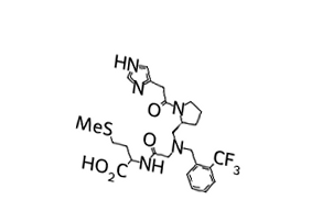 CSCCC(NC(=O)CN(Cc1ccccc1C(F)(F)F)C[C@@H]1CCCN1C(=O)Cc1c[nH]cn1)C(=O)O